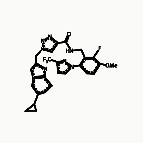 COc1ccc(-n2ccc(C(F)(F)F)n2)c(CNC(=O)c2cn(Cc3cn4cc(C5CC5)ccc4n3)nn2)c1F